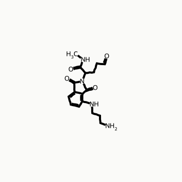 CNC(=O)C(CCC=O)N1C(=O)c2cccc(NCCCN)c2C1=O